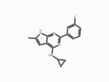 Cc1cc2c(NC3CC3)nc(-c3cccc(F)c3)nc2[nH]1